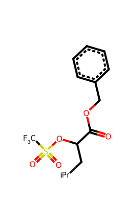 CC(C)CC(OS(=O)(=O)C(F)(F)F)C(=O)OCc1ccccc1